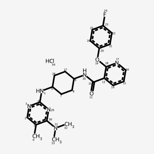 Cc1cnc(NC2CCC(NC(=O)c3cccnc3Oc3ccc(F)cc3)CC2)nc1N(C)C.Cl